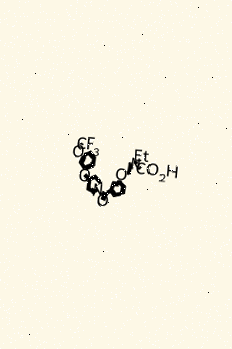 CCN(CCOc1cccc(C(=O)N2CCC(Oc3cccc(OC(F)(F)F)c3)CC2)c1)C(=O)O